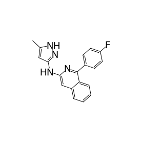 Cc1cc(Nc2cc3ccccc3c(-c3ccc(F)cc3)n2)n[nH]1